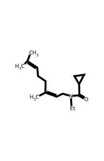 CCN(C/C=C(/C)CCC=C(C)C)C(=O)C1CC1